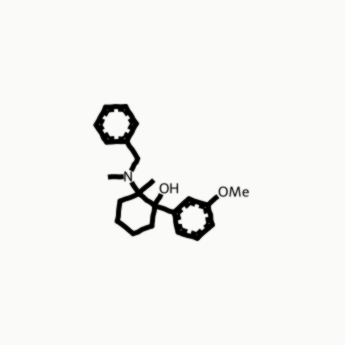 COc1cccc(C2(O)CCCCC2(C)N(C)Cc2ccccc2)c1